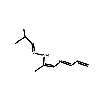 C=C/C=N/C=C(/C)N/N=C/C(C)C